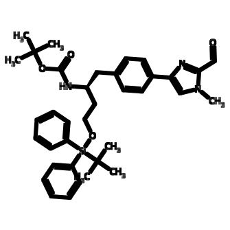 Cn1cc(-c2ccc(C[C@@H](CCO[Si](c3ccccc3)(c3ccccc3)C(C)(C)C)NC(=O)OC(C)(C)C)cc2)nc1C=O